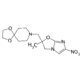 CC1(CN2CCC3(CC2)OCCO3)Cn2cc([N+](=O)[O-])nc2O1